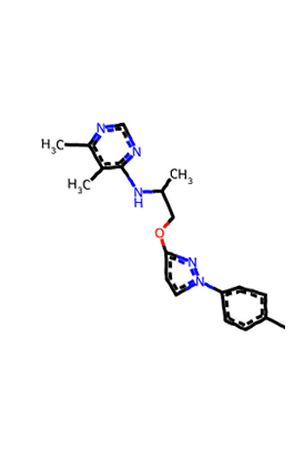 Cc1ccc(-n2ccc(OCC(C)Nc3ncnc(C)c3C)n2)cc1